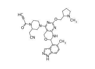 C#CC(=O)N1CCN(c2nc(OCC3CCCN3C)nc3c2COC(c2c(C)ccc4[nH]ncc24)N3)CC1CC#N